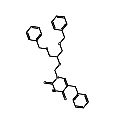 O=c1[nH]c(=O)n(COC(COCc2ccccc2)COCc2ccccc2)cc1Cc1ccccc1